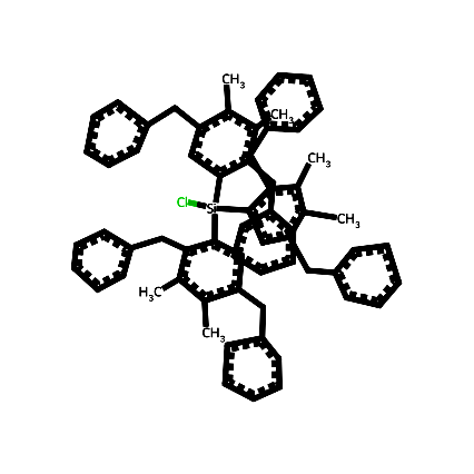 Cc1c(Cc2ccccc2)cc([Si](Cl)(c2cc(Cc3ccccc3)c(C)c(C)c2Cc2ccccc2)c2cc(Cc3ccccc3)c(C)c(C)c2Cc2ccccc2)c(Cc2ccccc2)c1C